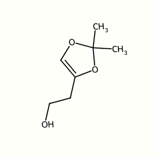 CC1(C)OC=C(CCO)O1